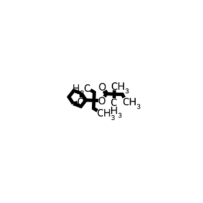 CCC(C)(C)C(=O)OC(CC)(CC)C1CC2CCC1O2